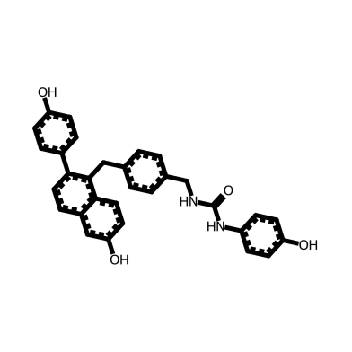 O=C(NCc1ccc(Cc2c(-c3ccc(O)cc3)ccc3cc(O)ccc23)cc1)Nc1ccc(O)cc1